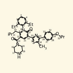 CCc1cccc(CC)c1-n1c(CC(C)C)c(C(=O)N2CCNCC2)cc(-c2nc(-c3ccc(OC(C)C)cc3)c(C)s2)c1=O